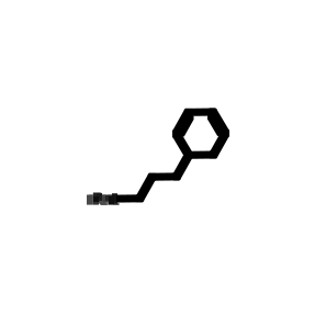 CCCCCCCCC1C=CC=CC1